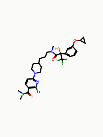 CN(C)C(=O)c1ccc(N2CCC(CCCN(C)C(=O)[C@](O)(c3cccc(OC4CC4)c3)C(F)(F)F)CC2)nc1Cl